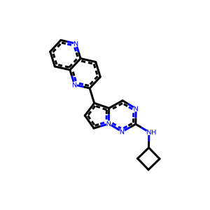 c1cnc2ccc(-c3ccn4nc(NC5CCC5)ncc34)nc2c1